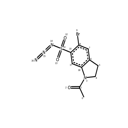 CC(=O)N1CCc2cc(Br)c(S(=O)(=O)N=[N+]=[N-])cc21